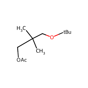 CC(=O)OCC(C)(C)COC(C)(C)C